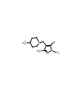 Cc1nn(C)c(Cl)c1CN1CCC(C)CC1